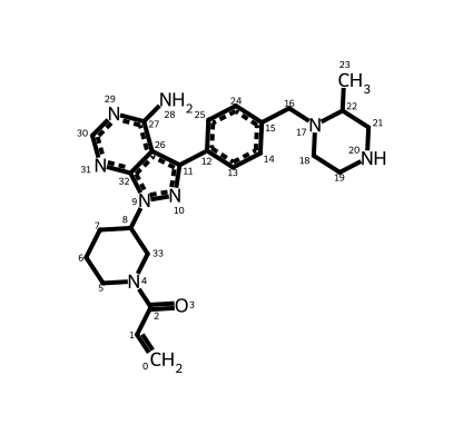 C=CC(=O)N1CCCC(n2nc(-c3ccc(CN4CCNCC4C)cc3)c3c(N)ncnc32)C1